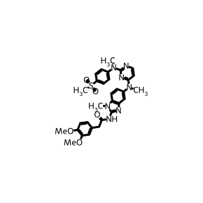 COc1ccc(CC(=O)Nc2nc3cc(N(C)c4ccnc(N(C)c5ccc(S(C)(=O)=O)cc5)n4)ccc3n2C)cc1OC